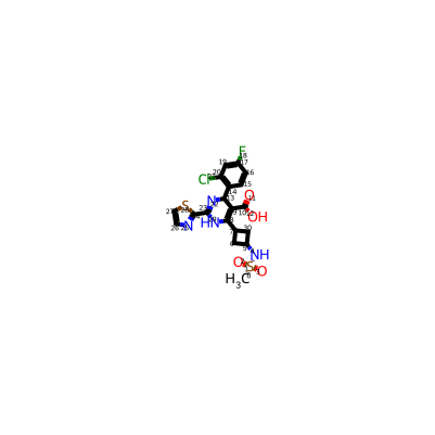 CS(=O)(=O)NC1CC(C2=C(C(=O)O)C(c3ccc(F)cc3Cl)N=C(c3nccs3)N2)C1